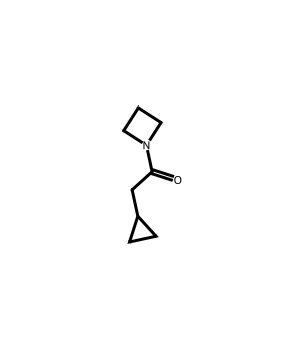 O=C(CC1CC1)N1C[CH]C1